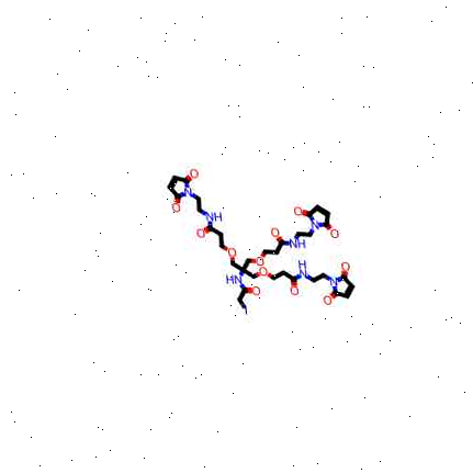 O=C(CCOCC(COCCC(=O)NCCN1C(=O)C=CC1=O)(COCCC(=O)NCCN1C(=O)C=CC1=O)NC(=O)CI)NCCN1C(=O)C=CC1=O